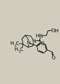 CC1(C)CC2CN(C(=O)NCCO)CC1N(c1ccc(C=O)cc1)C2